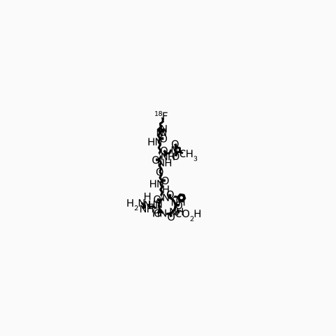 CC1CC(=O)N(CCC(=O)N[C@@H](CCCCNC(=O)Cn2cc(CCC[18F])nn2)C(=O)NCCOCCC(=O)NCCCC[C@@H]2NC(=O)[C@@H](Cc3ccccc3)NC(=O)[C@H](CC(=O)O)NC(=O)CNC(=O)[C@H](CCCNC(=N)N)NC2=O)C1=O